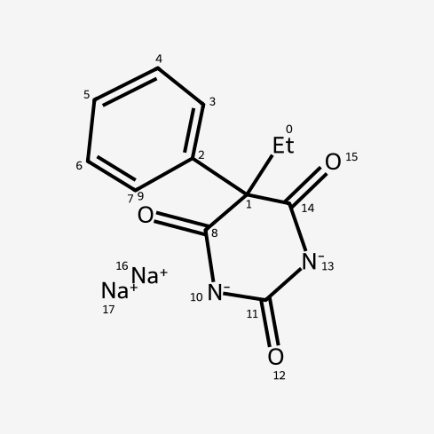 CCC1(c2ccccc2)C(=O)[N-]C(=O)[N-]C1=O.[Na+].[Na+]